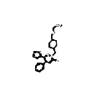 O=C(O)COCC1CCC(Cn2nc(-c3cccs3)c(-c3ccccc3)cc2=O)CC1